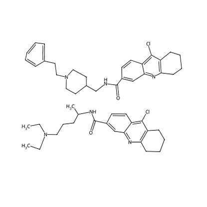 CCN(CC)CCCC(C)NC(=O)c1ccc2c(Cl)c3c(nc2c1)CCCC3.O=C(NCC1CCN(CCc2ccccc2)CC1)c1ccc2c(Cl)c3c(nc2c1)CCCC3